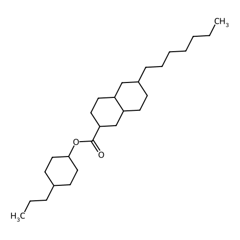 CCCCCCCC1CCC2CC(C(=O)OC3CCC(CCC)CC3)CCC2C1